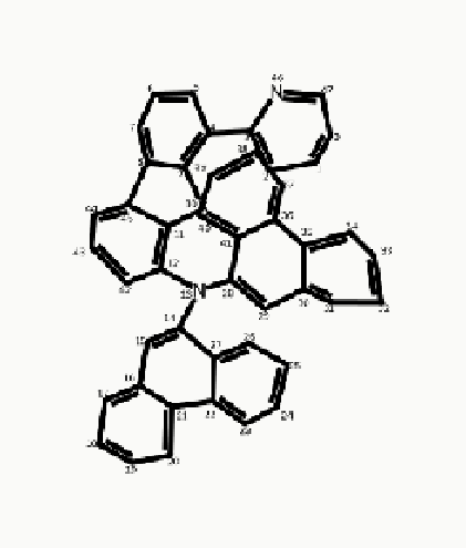 c1ccc(-c2cccc3c2sc2c(N(c4cc5ccccc5c5ccccc45)c4cc5ccccc5c5ccccc45)cccc23)nc1